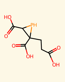 O=C(O)CCC1(C(=O)O)PC1C(=O)O